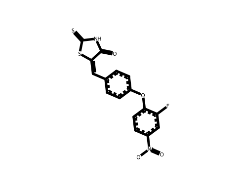 O=C1NC(=S)SC1=Cc1ccc(Oc2ccc([N+](=O)[O-])cc2F)cc1